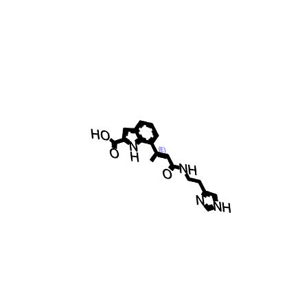 C/C(=C\C(=O)NCCc1c[nH]cn1)c1cccc2cc(C(=O)O)[nH]c12